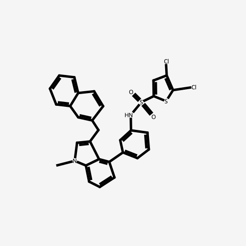 Cn1cc(Cc2ccc3ccccc3c2)c2c(-c3cccc(NS(=O)(=O)c4cc(Cl)c(Cl)s4)c3)cccc21